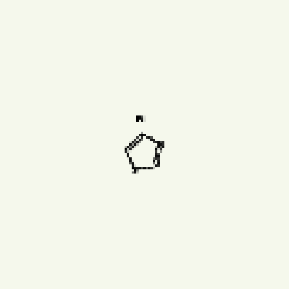 [P].c1cscn1